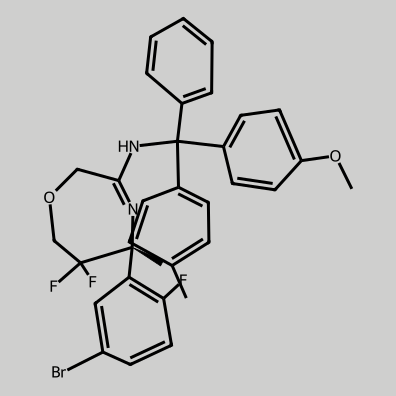 COc1ccc(C(NC2=N[C@](C)(c3cc(Br)ccc3F)C(F)(F)COC2)(c2ccccc2)c2ccc(C)cc2)cc1